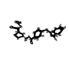 CC(C)(C)OC(=O)N1CC[C@@H](NCC(=O)c2ccc(Cn3ncc4ccccc43)cc2)C1